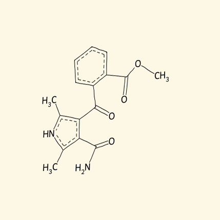 COC(=O)c1ccccc1C(=O)c1c(C)[nH]c(C)c1C(N)=O